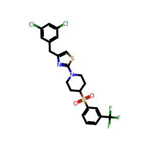 O=S(=O)(c1cccc(C(F)(F)F)c1)C1CCN(c2nc(Cc3cc(Cl)cc(Cl)c3)cs2)CC1